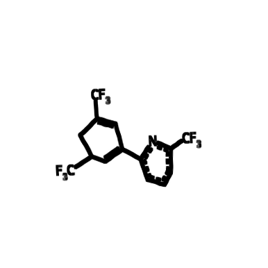 FC(F)(F)C1=CC(c2cccc(C(F)(F)F)n2)=CC(C(F)(F)F)C1